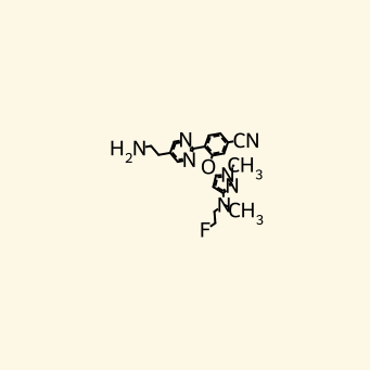 CN(CCF)c1cc(Oc2cc(C#N)ccc2-c2ncc(CCN)cn2)n(C)n1